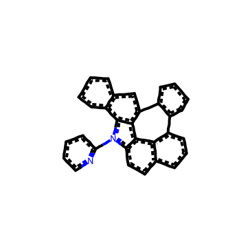 c1ccc(-n2c3ccc4cccc5c4c3c3c(cc4ccccc4c32)-c2ccccc2-5)nc1